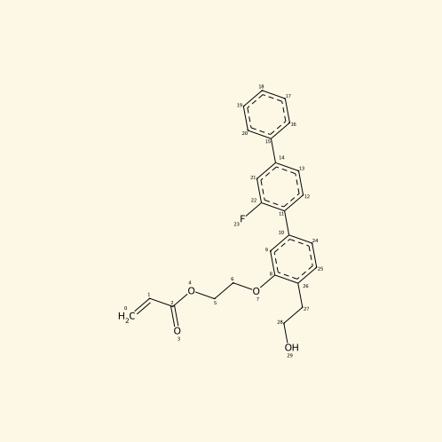 C=CC(=O)OCCOc1cc(-c2ccc(-c3ccccc3)cc2F)ccc1CCO